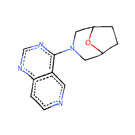 c1cc2ncnc(N3CC4CCC(C3)O4)c2cn1